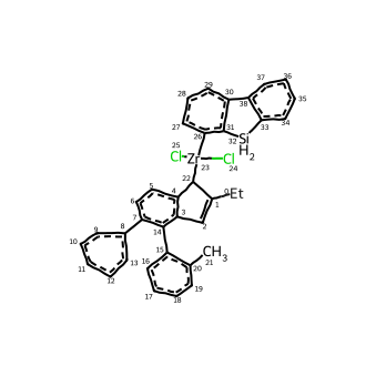 CCC1=Cc2c(ccc(-c3ccccc3)c2-c2ccccc2C)[CH]1[Zr]([Cl])([Cl])[c]1cccc2c1[SiH2]c1ccccc1-2